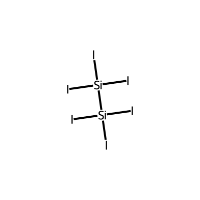 I[Si](I)(I)[Si](I)(I)I